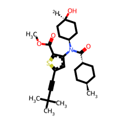 [2H][C@]1(O)CC[C@@H](N(c2cc(C#CC(C)(C)C)sc2C(=O)OC)C(=O)[C@H]2CC[C@H](C)CC2)CC1